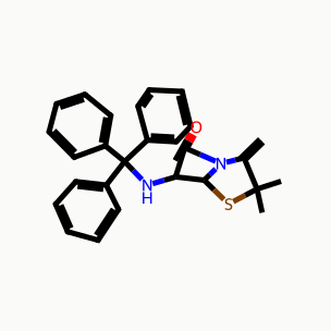 C=C1N2C(=O)C(NC(c3ccccc3)(c3ccccc3)c3ccccc3)C2SC1(C)C